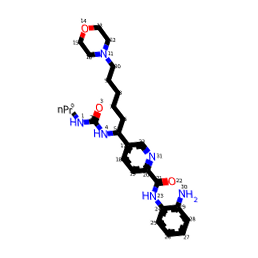 CCCNC(=O)NC(CCCCCN1CCOCC1)c1ccc(C(=O)Nc2ccccc2N)nc1